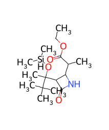 CCOC(=O)C(C)C1NC(=O)C1C(C)(O[SiH](C)C)C(C)(C)C